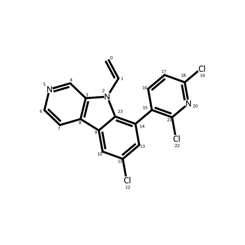 C=Cn1c2cnccc2c2cc(Cl)cc(-c3ccc(Cl)nc3Cl)c21